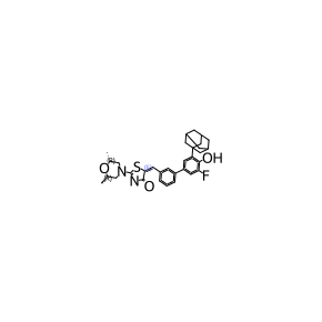 C[C@@H]1CN(C2=NC(=O)/C(=C\c3cccc(-c4cc(F)c(O)c(C56CC7CC(CC(C7)C5)C6)c4)c3)S2)C[C@@H](C)O1